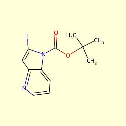 CC(C)(C)OC(=O)n1c(I)cc2ncccc21